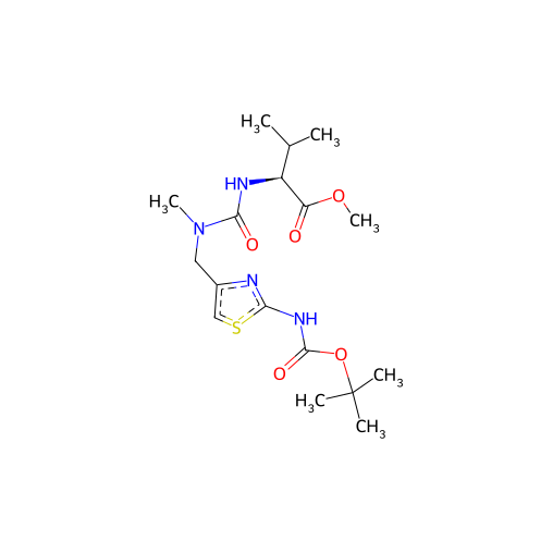 COC(=O)[C@@H](NC(=O)N(C)Cc1csc(NC(=O)OC(C)(C)C)n1)C(C)C